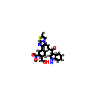 Cc1cn2c(/C=C/C(=O)c3c[nH]c4ccccc34)c(-c3ccc(CO)c([N+](=O)[O-])c3)nc2s1